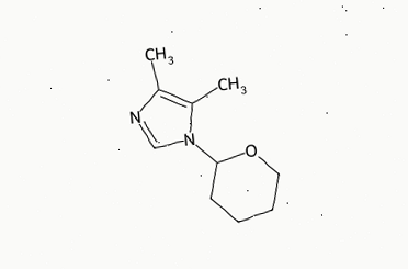 Cc1ncn(C2CCCCO2)c1C